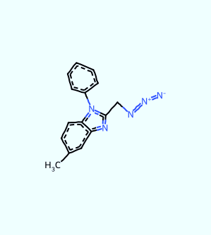 Cc1ccc2c(c1)nc(CN=[N+]=[N-])n2-c1ccccc1